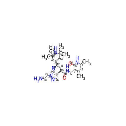 Cc1cc(C)c(CNC(=O)c2cc(C3=CC(C)(C)NC(C)(C)C3)nc3c2cnn3CCN)c(=O)[nH]1